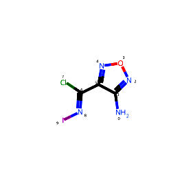 Nc1nonc1/C(Cl)=N/I